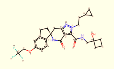 O=C1N[C@@]2(CCc3cc(OCC(F)(F)F)ccc32)Cc2nn(CCC3CC3)c(C(=O)NCC3(O)CCC3)c21